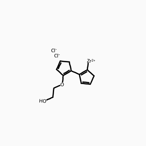 OCCOC1=C(C2=[C]([Zr+2])CC=C2)CC=C1.[Cl-].[Cl-]